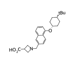 CC(C)(C)[C@H]1CC[C@H](Oc2cccc3cc(CN4CC(C(=O)O)C4)ccc23)CC1